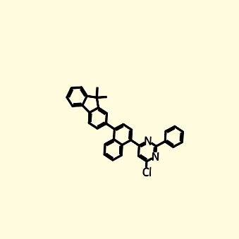 CC1(C)c2ccccc2-c2ccc(-c3ccc(-c4cc(Cl)nc(-c5ccccc5)n4)c4ccccc34)cc21